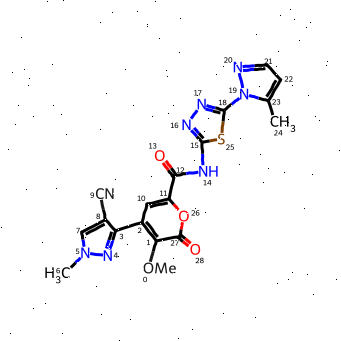 COc1c(-c2nn(C)cc2C#N)cc(C(=O)Nc2nnc(-n3nccc3C)s2)oc1=O